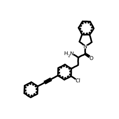 NC(Cc1ccc(C#Cc2ccccc2)cc1Cl)C(=O)N1Cc2ccccc2C1